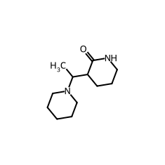 CC(C1CCCNC1=O)N1CCCCC1